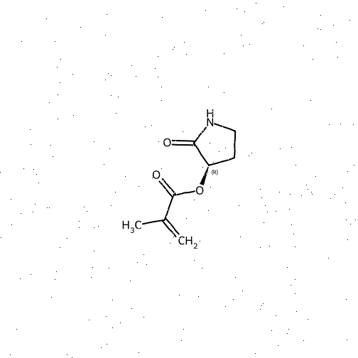 C=C(C)C(=O)O[C@@H]1CCNC1=O